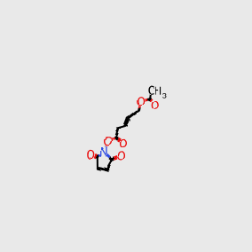 CC(=O)OCC=CCC(=O)ON1C(=O)CCC1=O